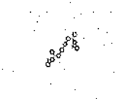 CC1(C)c2ccccc2-c2ccc(N(C3=CCCC=C3)C3=CCCC(c4ccc(-c5ccc(C6=CC(N(c7ccccc7)c7ccc8c(c7)C(C)(C)c7ccccc7-8)=CCC6)cc5)cc4)=C3)cc21